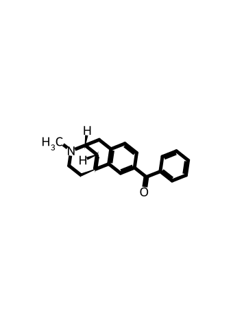 CN1CC[C@]23CCCC[C@H]2[C@H]1Cc1ccc(C(=O)c2ccccc2)cc13